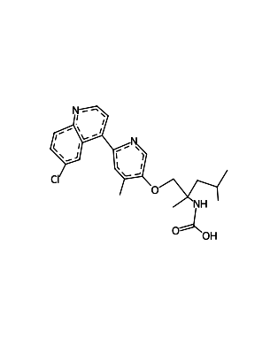 Cc1cc(-c2ccnc3ccc(Cl)cc23)ncc1OCC(C)(CC(C)C)NC(=O)O